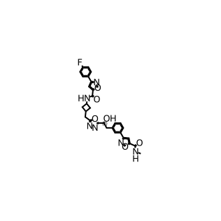 CNC(=O)c1cc(-c2cccc(C[C@@H](O)c3nnc(CC4CC(NC(=O)c5cc(-c6ccc(F)cc6)no5)C4)o3)c2)no1